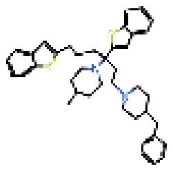 CC1CCN(C(CCCc2cc3ccccc3s2)(CCN2CCC(Cc3ccccc3)CC2)c2cc3ccccc3s2)CC1